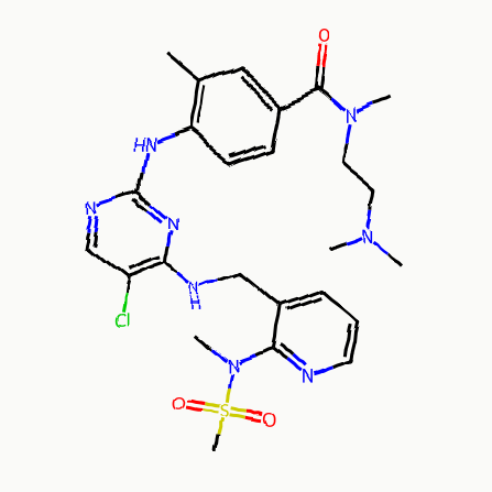 Cc1cc(C(=O)N(C)CCN(C)C)ccc1Nc1ncc(Cl)c(NCc2cccnc2N(C)S(C)(=O)=O)n1